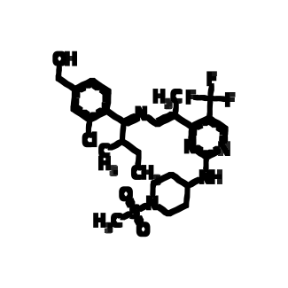 CCC(C)/C(=N\C=C(/C)c1nc(NC2CCN(S(C)(=O)=O)CC2)ncc1C(F)(F)F)c1ccc(CO)cc1Cl